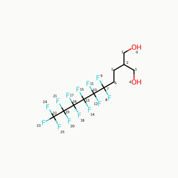 OCC(CO)CCC(F)(F)C(F)(F)C(F)(F)C(F)(F)C(F)(F)C(F)(F)F